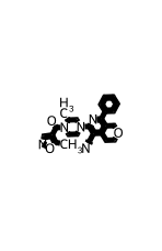 Cc1oncc1C(=O)N1CCN(c2nc(-c3ccccc3)c3c(c2C#N)CCOC3)CC1C